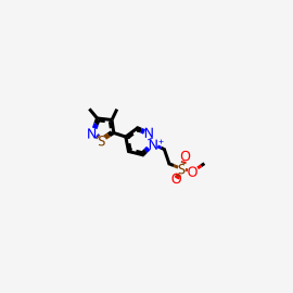 COS(=O)(=O)CC[n+]1ccc(-c2snc(C)c2C)cn1